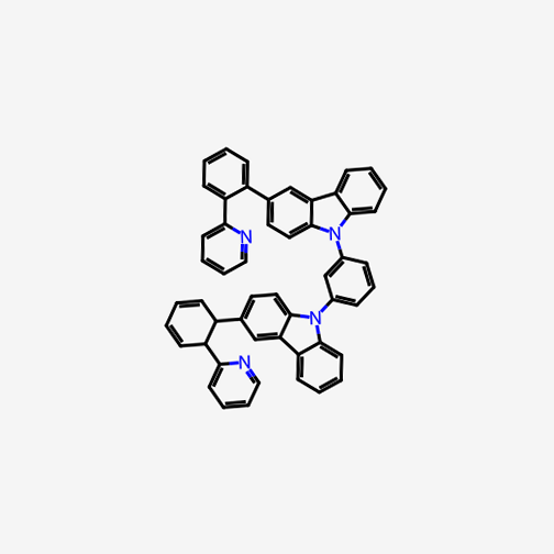 C1=CC(c2ccc3c(c2)c2ccccc2n3-c2cccc(-n3c4ccccc4c4cc(-c5ccccc5-c5ccccn5)ccc43)c2)C(c2ccccn2)C=C1